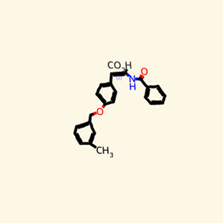 Cc1cccc(COc2ccc(/C=C(\NC(=O)c3ccccc3)C(=O)O)cc2)c1